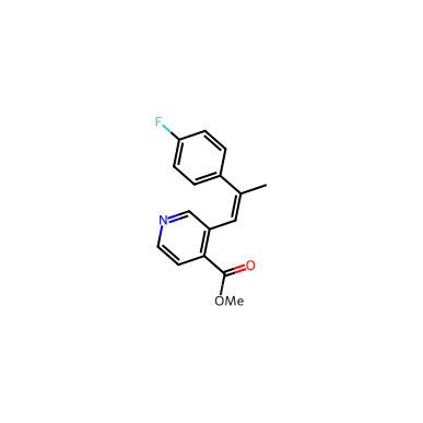 COC(=O)c1ccncc1C=C(C)c1ccc(F)cc1